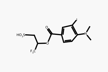 CN(C)c1ccc(C(=O)OC(CS(=O)(=O)O)C(F)(F)F)cc1I